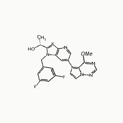 COc1ncnn2ccc(-c3cnc4nc([C@@H](C)O)n(Cc5cc(F)cc(F)c5)c4c3)c12